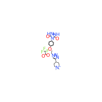 C[N+]1(C)CCC(c2cn(CCOc3ccc(-n4c(=O)[nH][nH]c4=O)cc3)nn2)CC1.O=C([O-])C(F)(F)F